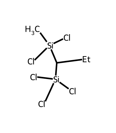 CCC([Si](C)(Cl)Cl)[Si](Cl)(Cl)Cl